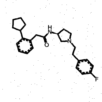 O=C(Cc1ccccc1C1CCCC1)N[C@H]1CCN(CCc2ccc(F)cc2)C1